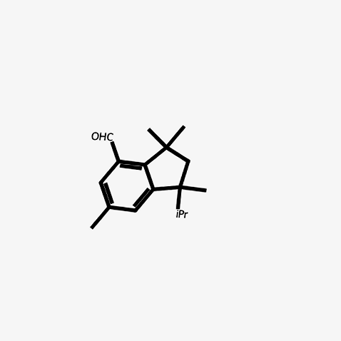 Cc1cc(C=O)c2c(c1)C(C)(C(C)C)CC2(C)C